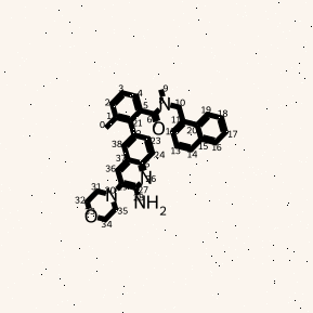 Cc1cccc(C(=O)N(C)Cc2cccc3ccccc23)c1-c1ccc2nc(N)c(N3CCOCC3)cc2c1